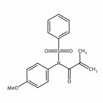 C=C(C)C(=O)N(c1ccc(OC)cc1)S(=O)(=O)c1ccccc1